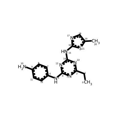 CCc1nc(Nc2ccc(N)cc2)nc(Nc2ncc(C)s2)n1